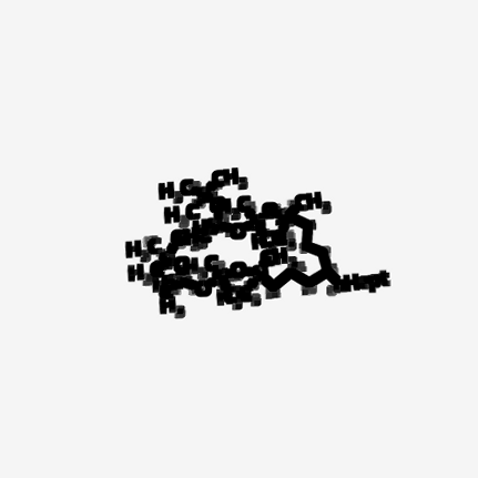 CCCCCCCC(CCC[Si](C)(C)O[Si](C)(C)O[SiH](C)O[Si](C)(C)C)CCC[Si](C)(C)O[Si](C)(C)O[SiH](C)O[Si](C)(C)C